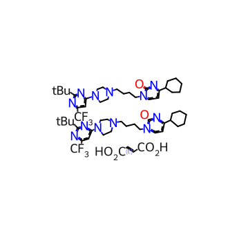 CC(C)(C)c1nc(N2CCN(CCCCn3ccc(C4CCCCC4)nc3=O)CC2)cc(C(F)(F)F)n1.CC(C)(C)c1nc(N2CCN(CCCCn3ccc(C4CCCCC4)nc3=O)CC2)cc(C(F)(F)F)n1.O=C(O)/C=C/C(=O)O